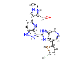 Cn1cc(-c2ccc3[nH]nc(-c4nc5c(-c6ccc(F)s6)cncc5[nH]4)c3n2)c(CO)n1